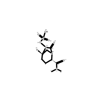 CN(C)C(=O)[C@@H]1CC[C@H]2CN1C(=O)N2OS(=O)(=O)O